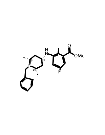 COC(=O)c1cc(F)cc(N[C@H]2C[C@@H](C)N(Cc3ccccc3)[C@@H](C)C2)c1C